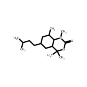 CC(C)CCC1CC(C)C2C(C1)C(C)(C)OC(=O)N2C